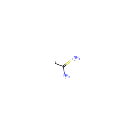 CC(N)=S.N